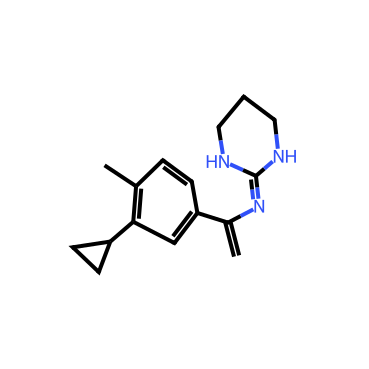 C=C(N=C1NCCCN1)c1ccc(C)c(C2CC2)c1